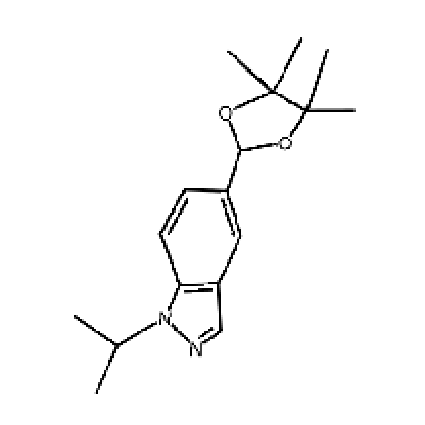 CC(C)n1ncc2cc(C3OC(C)(C)C(C)(C)O3)ccc21